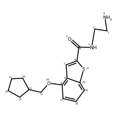 NCCNC(=O)c1cc2c(OCC3CCCC3)cccc2s1